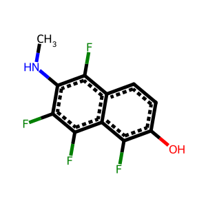 CNc1c(F)c(F)c2c(F)c(O)ccc2c1F